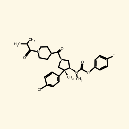 CC(C)C(=O)N1CCC(C(=O)N2C[C@@H](N(C)C(=O)Oc3ccc(F)cc3)[C@](C)(c3ccc(Cl)cc3)C2)CC1